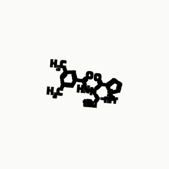 CCC[C@@H](N(NC(=O)c1cc(C)cc(C)c1)C(=O)c1cccs1)C(C)(C)C